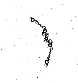 Cc1cc(OC(=O)c2ccc(OCCCCCCOCC3CCC4OC4C3)cc2F)ccc1OC(=O)c1ccc(OCCCCCCOCC2CCC3OC3C2)cc1F